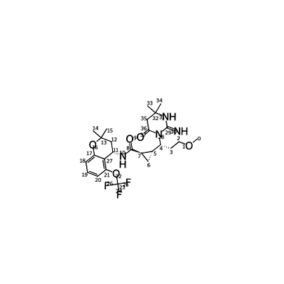 COCC[C@H]([C@@H]1C[C@H]1C(=O)N[C@H]1CC(C)(C)Oc2cccc(OC(F)(F)F)c21)N1C(=N)NC(C)(C)CC1=O